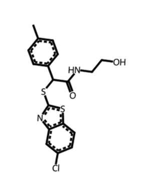 Cc1ccc(C(Sc2nc3cc(Cl)ccc3s2)C(=O)NCCO)cc1